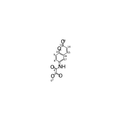 COC(=O)C(=O)Nc1ccc2oc(=O)ccc2c1